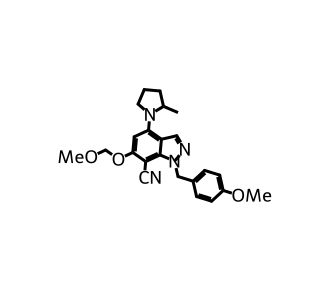 COCOc1cc(N2CCCC2C)c2cnn(Cc3ccc(OC)cc3)c2c1C#N